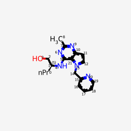 CCC[C@@H](CO)Nc1nc(C)nc2ccn(Cc3ccccn3)c12